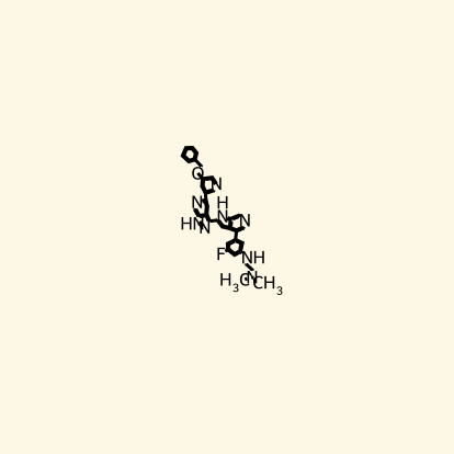 CN(C)CCNc1cc(F)cc(-c2cncc3[nH]c(-c4n[nH]c5cnc(-c6cncc(OCc7ccccc7)c6)cc45)cc23)c1